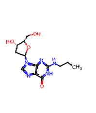 CCCNc1nc2c(ncn2C2C[C@H](O)[C@@H](CO)O2)c(=O)[nH]1